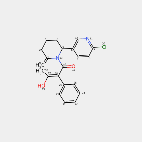 C=C1CCCC(c2ccc(Cl)nc2)N1C(=O)/C(=C(\C)O)c1ccccc1